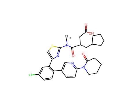 CN(C(=O)C(CC(=O)O)CC1CCCC1)c1nc(-c2cc(Cl)ccc2-c2ccc(N3CCCCC3=O)nc2)cs1